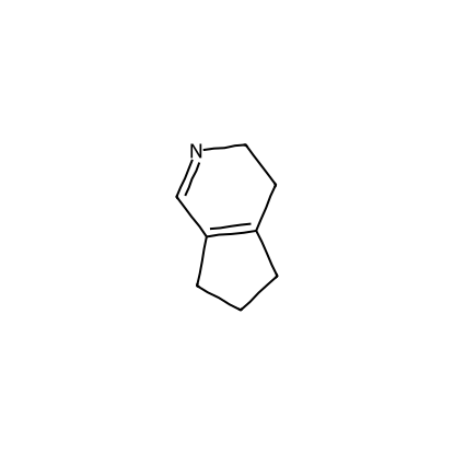 C1=NCCC2=C1CCC2